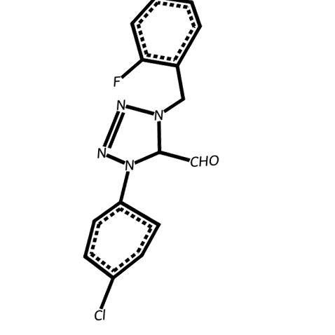 O=CC1N(Cc2ccccc2F)N=NN1c1ccc(Cl)cc1